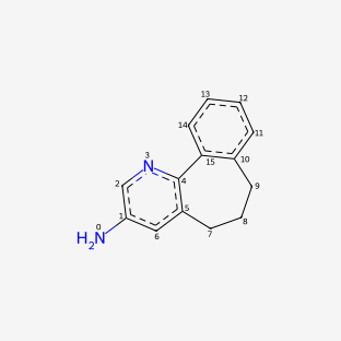 Nc1cnc2c(c1)CCCc1ccccc1-2